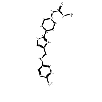 CSc1ncc(OCc2csc(C3CCN(OC(=O)OC(C)(C)C)CC3)n2)cn1